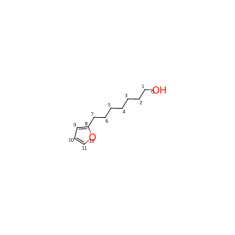 OCCCCCCCc1ccco1